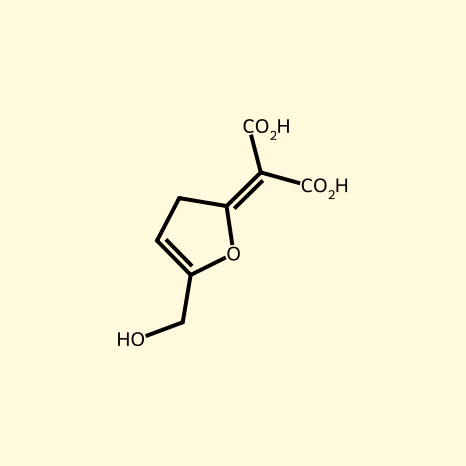 O=C(O)C(C(=O)O)=C1CC=C(CO)O1